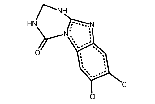 O=C1NCNc2nc3cc(Cl)c(Cl)cc3n21